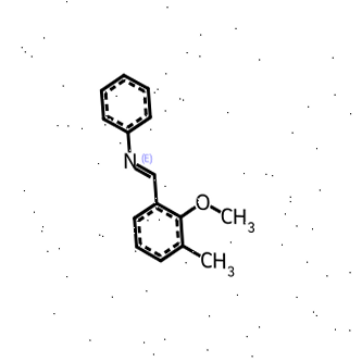 COc1c(C)cccc1/C=N/c1ccccc1